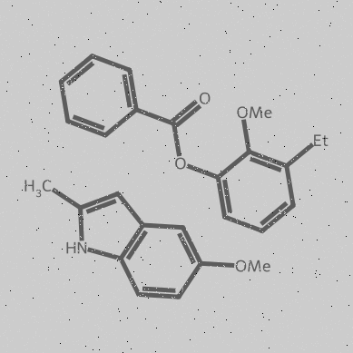 CCc1cccc(OC(=O)c2ccccc2)c1OC.COc1ccc2[nH]c(C)cc2c1